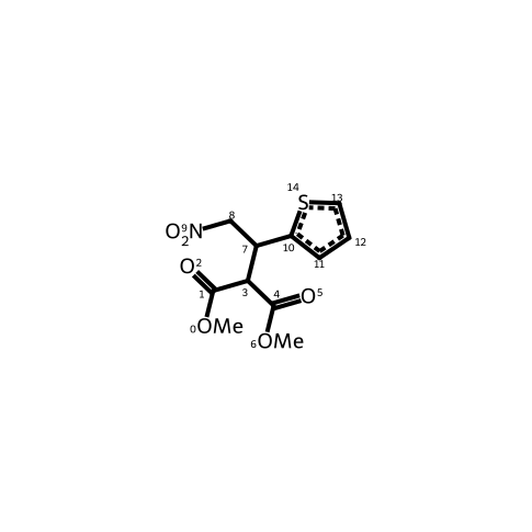 COC(=O)C(C(=O)OC)C(C[N+](=O)[O-])c1cccs1